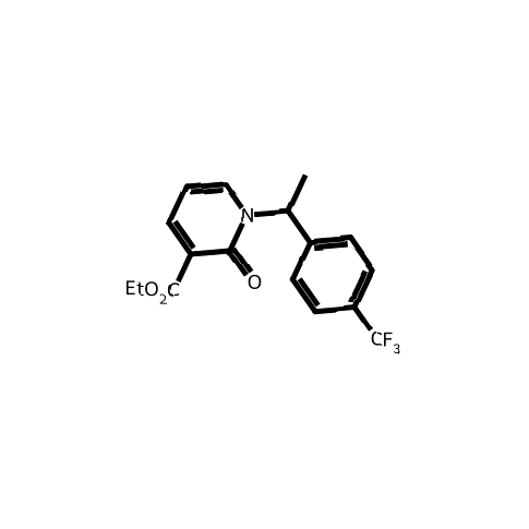 CCOC(=O)c1cccn(C(C)c2ccc(C(F)(F)F)cc2)c1=O